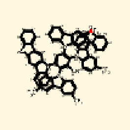 N#Cc1c(-n2c3ccc(C(F)(F)F)cc3c3cc(C(F)(F)F)ccc32)c(-n2c3ccccc3c3cc4sc5ccccc5c4cc32)cc(-n2c3ccccc3c3cc4sc5ccccc5c4cc32)c1-n1c2ccc(C(F)(F)F)cc2c2cc(C(F)(F)F)ccc21